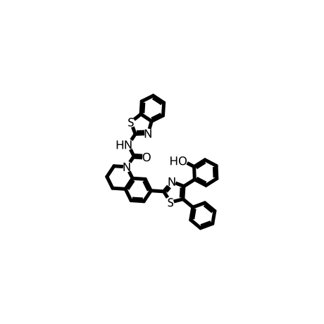 O=C(Nc1nc2ccccc2s1)N1CCCc2ccc(-c3nc(-c4ccccc4O)c(-c4ccccc4)s3)cc21